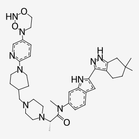 C[C@@H](C(=O)N(C)c1ccc2cc(-c3n[nH]c4c3CCC(C)(C)C4)[nH]c2c1)N1CCN(CC2CCN(c3ccc(N4CCONO4)cn3)CC2)CC1